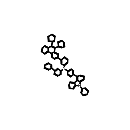 c1ccc(-c2cccc(N(c3ccc(-c4cccc5c4c4ccccc4n5-c4ccccc4)cc3)c3cccc(-c4ccc5c(c4)c(-c4ccccc4)c(-c4ccccc4)c4ccccc45)c3)c2)cc1